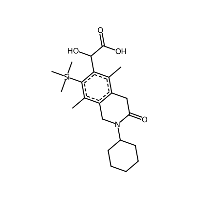 Cc1c2c(c(C)c([Si](C)(C)C)c1C(O)C(=O)O)CN(C1CCCCC1)C(=O)C2